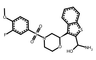 COc1ccc(S(=O)(=O)N2CCO[C@H](c3c(C(N)O)sc4ccccc34)C2)cc1F